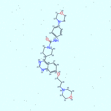 O=C(Nc1ccc(N2CCOCC2)cc1)N1CCC(c2ncnc3cc(OCCCN4CCOCC4)ccc23)CC1